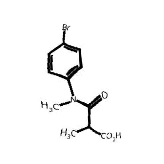 CC(C(=O)O)C(=O)N(C)c1ccc(Br)cc1